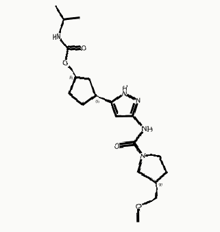 COC[C@@H]1CCN(C(=O)Nc2cc([C@H]3CC[C@@H](OC(=O)NC(C)C)C3)[nH]n2)C1